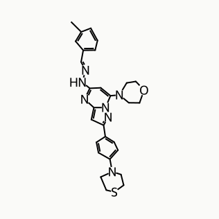 Cc1cccc(C=NNc2cc(N3CCOCC3)n3nc(-c4ccc(N5CCSCC5)cc4)cc3n2)c1